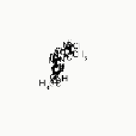 C[C@@H](OC(=O)Nc1c(-c2ccc(NS(C)(=O)=O)cn2)nnn1C)c1cnsc1Cl